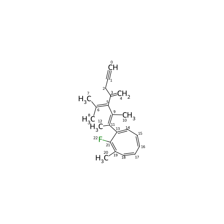 C#CCC(=C)C(=C(C)C)/C(C)=C(C)/C1=C/C=C\C=C/C(C)=C\1F